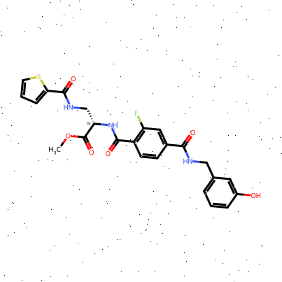 COC(=O)[C@H](CNC(=O)c1cccs1)NC(=O)c1ccc(C(=O)NCc2cccc(O)c2)cc1F